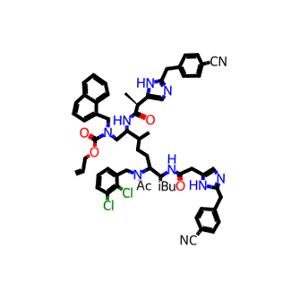 C=CCOC(=O)N(Cc1cccc2ccccc12)CC(NC(=O)[C@@H](C)c1cnc(Cc2ccc(C#N)cc2)[nH]1)C(C)CCC(C(NC(=O)Cc1cnc(Cc2ccc(C#N)cc2)[nH]1)C(C)CC)N(Cc1cccc(Cl)c1Cl)C(C)=O